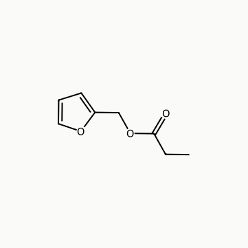 CCC(=O)OCc1ccco1